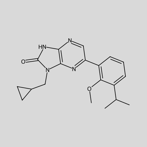 COc1c(-c2cnc3[nH]c(=O)n(CC4CC4)c3n2)cccc1C(C)C